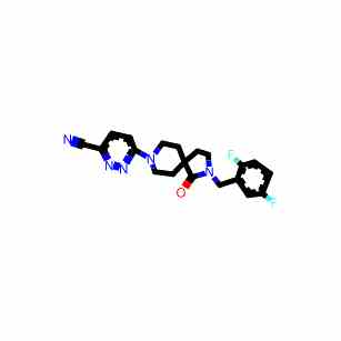 N#Cc1ccc(N2CCC3(CCN(Cc4cc(F)ccc4F)C3=O)CC2)nn1